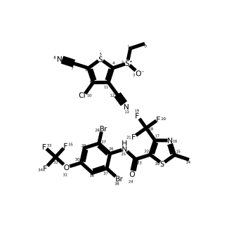 CC[S+]([O-])c1sc(C#N)c(Cl)c1C#N.Cc1nc(C(F)(F)F)c(C(=O)Nc2c(Br)cc(OC(F)(F)F)cc2Br)s1